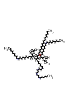 CCCCC/C=C\C/C=C\C/C=C\C/C=C\CCCCO[C@@H](COC(C(=O)CCCCCCC/C=C\CCCCCCCC)[C@H](CO)OC(C)=O)C(OC(C(=O)CCCCCCC/C=C\CCCCCCCC)C(CO)OC(C)=O)C(=O)CCCCCCCCCCCCCCCCC